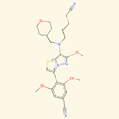 COc1cc(C#N)cc(OC)c1-c1csc2c(N(CCCCC#N)CC3CCOCC3)c(OC)nn12